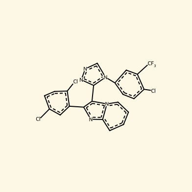 FC(F)(F)c1cc(-n2cnnc2-c2c(-c3cc(Cl)ccc3Cl)nc3ccccn23)ccc1Cl